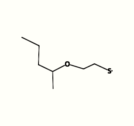 CCCC(C)OCC[S]